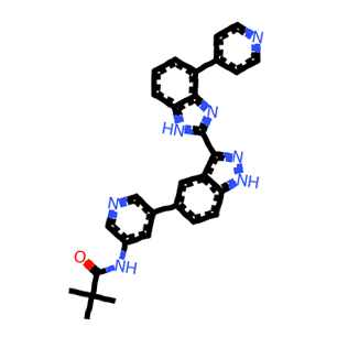 CC(C)(C)C(=O)Nc1cncc(-c2ccc3[nH]nc(-c4nc5c(-c6ccncc6)cccc5[nH]4)c3c2)c1